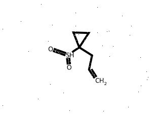 C=CCC1([SH](=O)=O)CC1